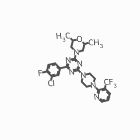 CC1CN(c2nc(-c3ccc(F)c(Cl)c3)nc(N3CCN(c4ncccc4C(F)(F)F)CC3)n2)CC(C)O1